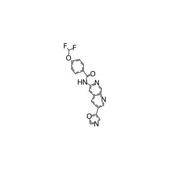 O=C(Nc1cc2cc(-c3cnco3)cnc2cn1)c1ccc(OC(F)F)cc1